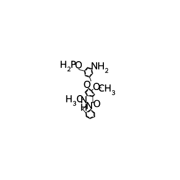 CNc1cc(OCc2cc(N)cc(COP)c2)c(OC)cc1C(=O)N1CCc2ccccc21